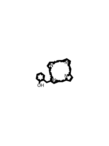 Oc1ccccc1Cc1cc2cc3nc(cc4ccc(cc5nc(cc1[nH]2)C=C5)[nH]4)C=C3